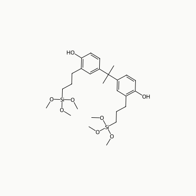 CO[Si](CCCc1cc(C(C)(C)c2ccc(O)c(CCC[Si](OC)(OC)OC)c2)ccc1O)(OC)OC